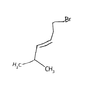 CC(C)C=CCBr